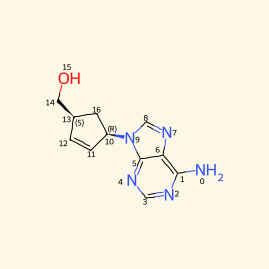 Nc1ncnc2c1ncn2[C@H]1C=C[C@@H](CO)C1